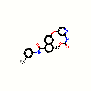 CC(C)(C)OC(=O)Nc1cc(Oc2ccc3c(C(=O)Nc4cccc(C(F)(F)F)c4)cccc3c2)ccn1